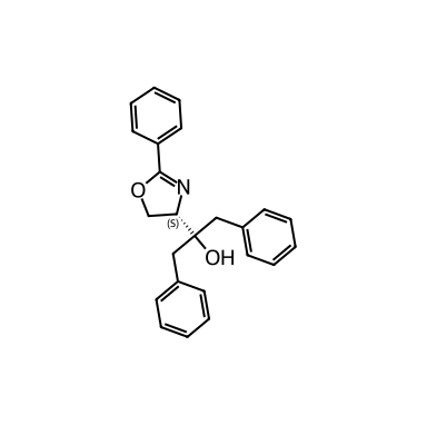 OC(Cc1ccccc1)(Cc1ccccc1)[C@@H]1COC(c2ccccc2)=N1